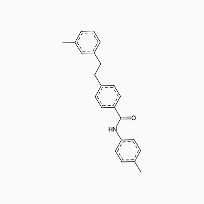 Cc1ccc(NC(=O)c2ccc(CCc3cccc(C)c3)cc2)cc1